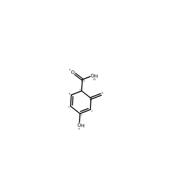 C=C1C=C(O)C=CC1C(=O)O